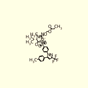 CCC(=O)OCO/N=[N+](\[O-])N(C)[C@H](C(=O)NS(=O)(=O)c1ccc(-n2nc(C(F)(F)F)cc2-c2ccc(C)cc2)cc1)C(C)C